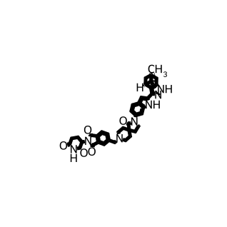 C[C@@]12Cc3[nH]nc(-c4cc5ccc(N6CCC7(CCN(Cc8ccc9c(c8)C(=O)N(C8CCC(=O)NC8=O)C9=O)CC7)C6=O)cc5[nH]4)c3[C@@H](C1)C2(F)F